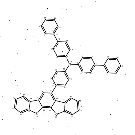 c1ccc(-c2ccc(N(c3ccc(-c4ccccc4)cc3)c3ccc(-c4cc5c6ccccc6sc5c5oc6ccccc6c45)cc3)cc2)cc1